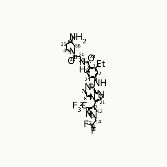 CCc1cc(Nc2nccn3c(-c4cn(CC(F)F)nc4C(F)(F)F)cnc23)ccc1C(=O)NCC(=O)N1CC[C@@H](N)C1